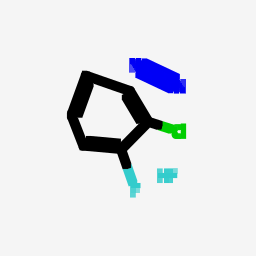 F.Fc1ccccc1Cl.N#N